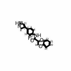 O=C(Nc1ccc(-c2cn[nH]c2)cc1F)C1COc2ccccc2O1